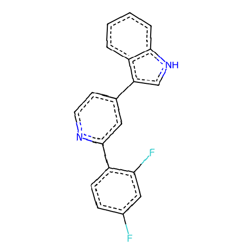 Fc1ccc(-c2cc(-c3c[nH]c4ccccc34)ccn2)c(F)c1